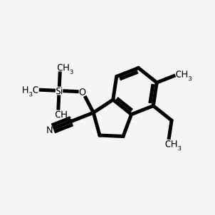 CCc1c(C)ccc2c1CCC2(C#N)O[Si](C)(C)C